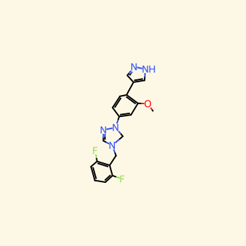 COc1cc(N2CN(Cc3c(F)cccc3F)C=N2)ccc1-c1cn[nH]c1